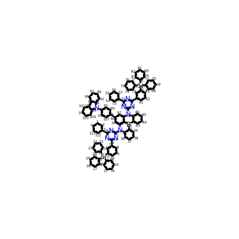 c1ccc(-c2nc(-c3cccc([Si](c4ccccc4)(c4ccccc4)c4ccccc4)c3)nc(N3c4ccccc4B4c5ccccc5N(c5nc(-c6ccccc6)nc(-c6cccc([Si](c7ccccc7)(c7ccccc7)c7ccccc7)c6)n5)c5cc(-c6ccc(-n7c8ccccc8c8ccccc87)cc6)cc3c54)n2)cc1